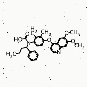 CCCC(c1ccccc1)N(C(=O)O)c1ccc(Oc2ccnc3cc(OC)c(OC)cc23)c(C)c1C